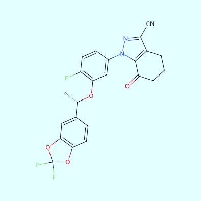 C[C@H](Oc1cc(-n2nc(C#N)c3c2C(=O)CCC3)ccc1F)c1ccc2c(c1)OC(F)(F)O2